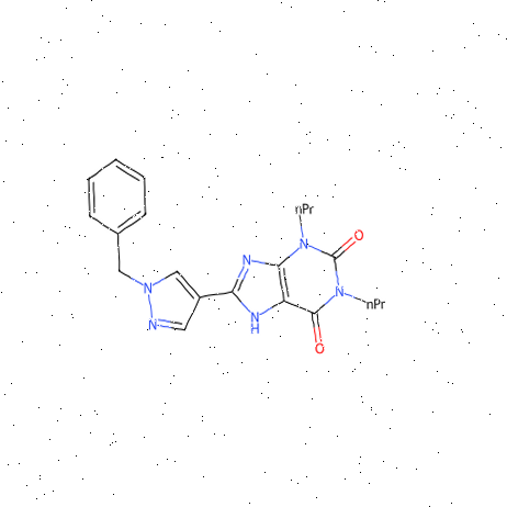 CCCn1c(=O)c2[nH]c(-c3cnn(Cc4ccccc4)c3)nc2n(CCC)c1=O